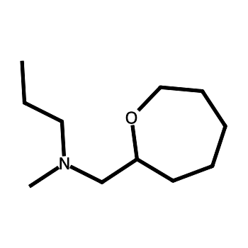 CCCN(C)CC1CCCCCO1